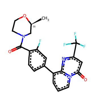 C[C@H]1CN(C(=O)c2ccc(-c3cccn4c(=O)cc(C(F)(F)F)nc34)cc2F)CCO1